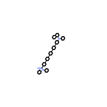 c1ccc(N(c2ccc(-c3ccc(-c4ccc(-c5ccc(-c6ccc(C7Nc8ccccc8N7c7ccccc7)cc6)cc5)cc4)cc3)cc2)c2cccc3ccccc23)cc1